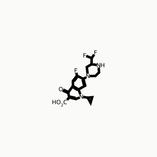 O=C(O)c1cn(C2CC2)c2cc(N3CCNC(C(F)F)C3)c(F)cc2c1=O